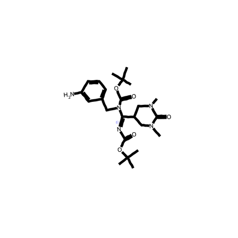 CN1CC(/C(=N\C(=O)OC(C)(C)C)N(Cc2cccc(N)c2)C(=O)OC(C)(C)C)CN(C)C1=O